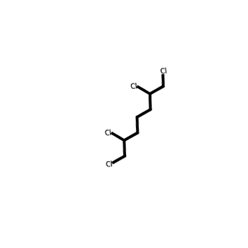 ClCC(Cl)CCCC(Cl)CCl